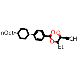 C#CC(=O)C(CC)OC(=O)c1ccc([C@H]2CC[C@H](CCCCCCCC)CC2)cc1